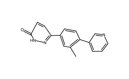 Cc1cc(-c2ccc(=O)[nH]n2)ccc1-c1cccnc1